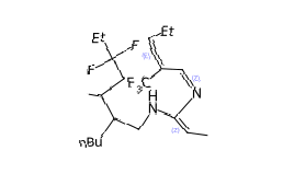 C\C=C(/N=C\C(=C/CC)C(F)(F)F)NCC(CCCC)C(C)CC(F)(F)CC